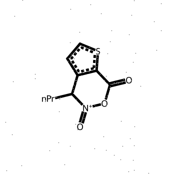 CCCC1c2ccsc2C(=O)O[N+]1=O